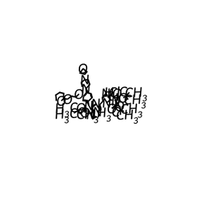 CC(C)(C)OC(=O)N(C(=O)OC(C)(C)C)c1nc(-c2cn3ccnc3c(N(C(=O)OC(C)(C)C)c3ccc(N4CCN(C5COC5)CC4)c(OCCOC4CCCCO4)c3)n2)cnc1Cl